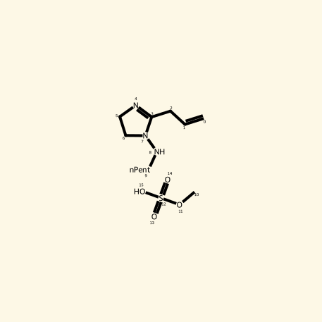 C=CCC1=NCCN1NCCCCC.COS(=O)(=O)O